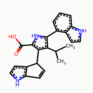 CC(C)c1c(-c2cccc3[nH]ccc23)[nH]c(C(=O)O)c1C1C=Cc2[nH]ccc21